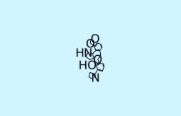 Oc1c(OCc2ccc3c(c2C2CCCN2)OCO3)cccc1C1=NCCC1